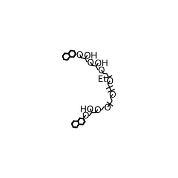 CCC(C)(CCOCC(O)COCC(O)COc1ccc2ccccc2c1)OCC(C)(C)C(C)(C)OCCC(C)(C)OCCOCC(O)COc1ccc2ccccc2c1